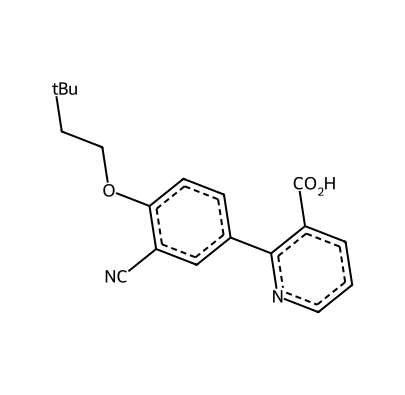 CC(C)(C)CCOc1ccc(-c2ncccc2C(=O)O)cc1C#N